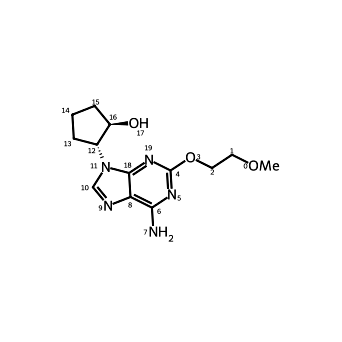 COCCOc1nc(N)c2ncn([C@@H]3CCC[C@H]3O)c2n1